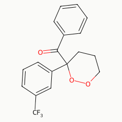 O=C(c1ccccc1)C1(c2cccc(C(F)(F)F)c2)CCCOO1